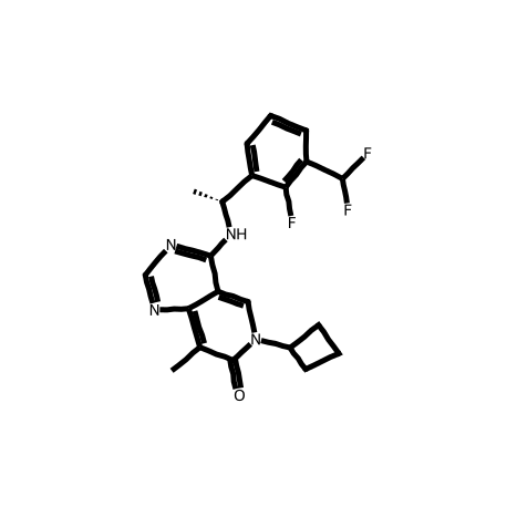 Cc1c(=O)n(C2CCC2)cc2c(N[C@H](C)c3cccc(C(F)F)c3F)ncnc12